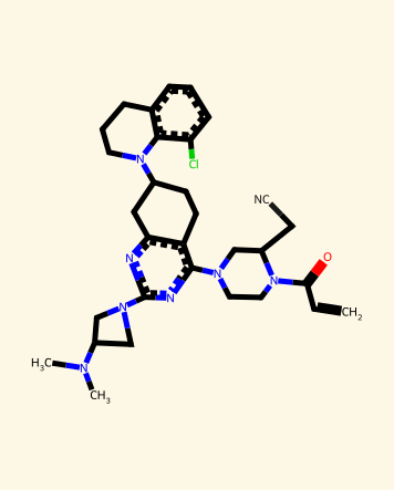 C=CC(=O)N1CCN(c2nc(N3CC(N(C)C)C3)nc3c2CCC(N2CCCc4cccc(Cl)c42)C3)CC1CC#N